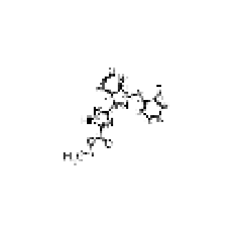 CCOC(=O)c1nc(-c2nn(Cc3ccccc3F)c3ncccc23)n[nH]1